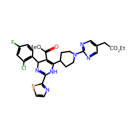 CCOC(=O)Cc1cnc(N2CCC(C3=C(C(=O)OC)C(c4ccc(F)cc4Cl)N=C(c4nccs4)N3)CC2)nc1